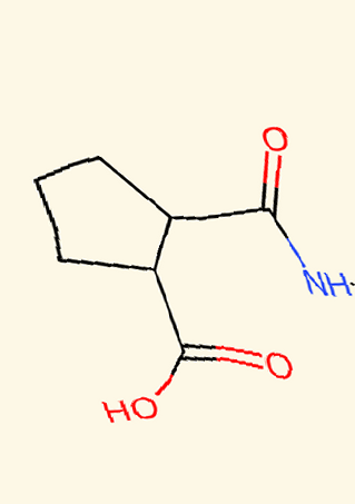 [NH]C(=O)C1CCCC1C(=O)O